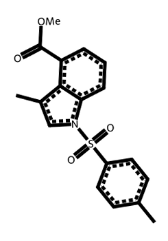 COC(=O)c1cccc2c1c(C)cn2S(=O)(=O)c1ccc(C)cc1